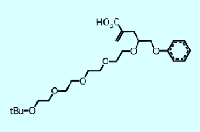 C=C(CC(COc1ccccc1)OCCOCCOCCOCCOC(C)(C)C)C(=O)O